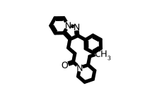 CCC1CCCCN1C(=O)CCc1c(-c2ccccc2)nn2ccccc12